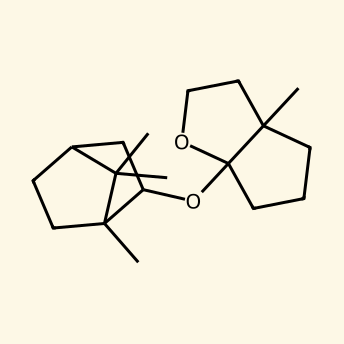 CC12CCCC1(OC1CC3CCC1(C)C3(C)C)OCC2